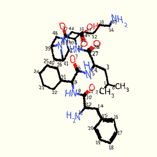 CC(C)CC(NC(=O)C(NC(=O)C(N)Cc1ccccc1)C1CCCCC1)C(=O)NC(CCCCN)C(=O)N1C2CC1CN(CC(=O)O)C2